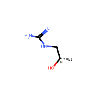 CC[C@H](O)CNC(=N)N